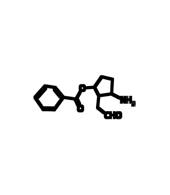 NC1CCC(OC(=O)c2ccccc2)C1CC=O